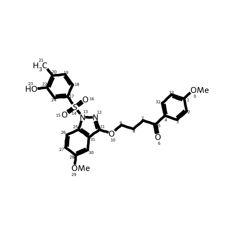 COc1ccc(C(=O)CCCOc2nn(S(=O)(=O)c3ccc(C)c(O)c3)c3ccc(OC)cc23)cc1